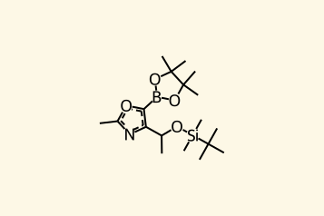 Cc1nc(C(C)O[Si](C)(C)C(C)(C)C)c(B2OC(C)(C)C(C)(C)O2)o1